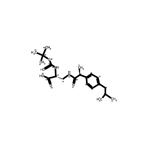 CC(C)Cc1ccc([C@H](C)C(=O)NC[C@@H](NC(=O)OC(C)(C)C)C(=O)O)cc1